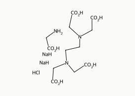 Cl.NCC(=O)O.O=C(O)CN(CCN(CC(=O)O)CC(=O)O)CC(=O)O.[NaH].[NaH]